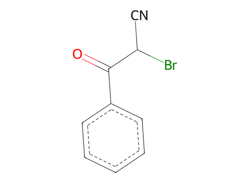 N#CC(Br)C(=O)c1ccccc1